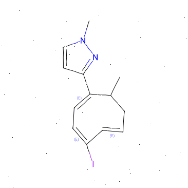 CC1C/C=C/C(I)=C\C=C/1c1ccn(C)n1